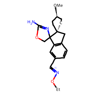 CCO/N=C/c1ccc2c(c1)C1(COC(N)=N1)[C@]1(CC[C@H](OC)CC1)C2